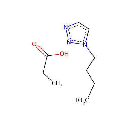 CCC(=O)O.O=C(O)CCCn1ccnn1